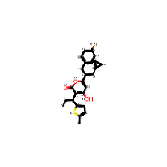 CCC(c1ccc(C)s1)c1c(O)cc(C(Cc2ccc(Br)cc2)CC2CC2)oc1=O